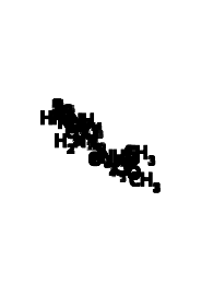 COc1ccc(CNC(=O)CCc2cccc(C(=O)Nc3n[nH]c(=S)s3)c2N)cc1OC